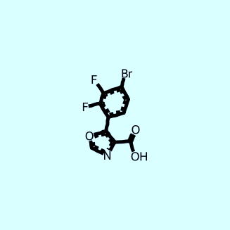 O=C(O)c1ncoc1-c1ccc(Br)c(F)c1F